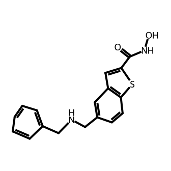 O=C(NO)c1cc2cc(CNCc3ccccc3)ccc2s1